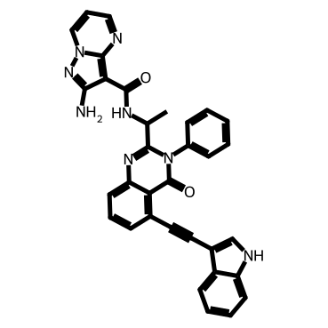 CC(NC(=O)c1c(N)nn2cccnc12)c1nc2cccc(C#Cc3c[nH]c4ccccc34)c2c(=O)n1-c1ccccc1